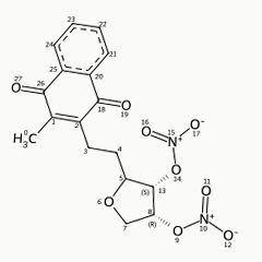 CC1=C(CCC2OC[C@@H](O[N+](=O)[O-])[C@H]2O[N+](=O)[O-])C(=O)c2ccccc2C1=O